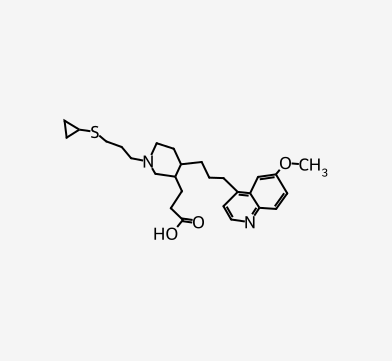 COc1ccc2nccc(CCCC3CCN(CCCSC4CC4)CC3CCC(=O)O)c2c1